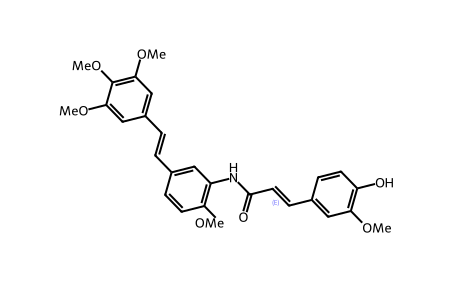 COc1cc(/C=C/C(=O)Nc2cc(C=Cc3cc(OC)c(OC)c(OC)c3)ccc2OC)ccc1O